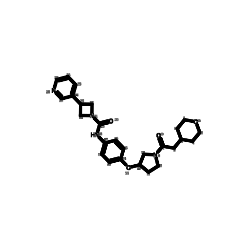 O=C(CC1CCOCC1)N1CCC(Oc2ccc(NC(=O)N3CC(c4cccnc4)C3)cc2)C1